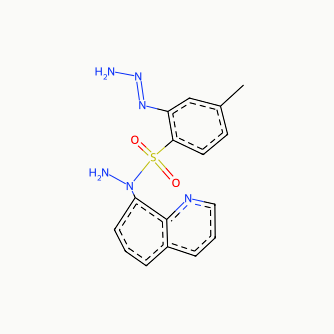 Cc1ccc(S(=O)(=O)N(N)c2cccc3cccnc23)c(N=NN)c1